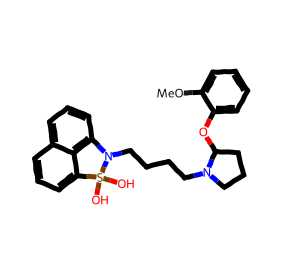 COc1ccccc1OC1CCCN1CCCCN1c2cccc3cccc(c23)S1(O)O